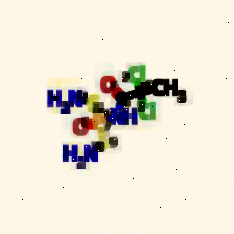 CC(Cl)(Cl)C(=O)NP(=O)(SN)SN